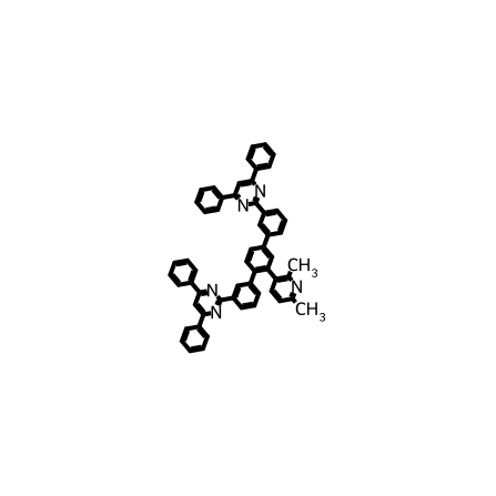 Cc1ccc(-c2cc(-c3cccc(-c4nc(-c5ccccc5)cc(-c5ccccc5)n4)c3)ccc2-c2cccc(-c3nc(-c4ccccc4)cc(-c4ccccc4)n3)c2)c(C)n1